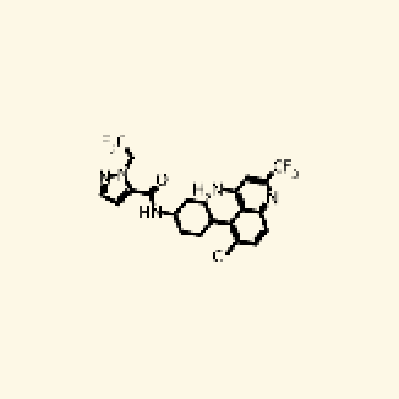 Nc1cc(C(F)(F)F)nc2ccc(Cl)c(C3CCC(NC(=O)c4ccnn4CC(F)(F)F)CC3)c12